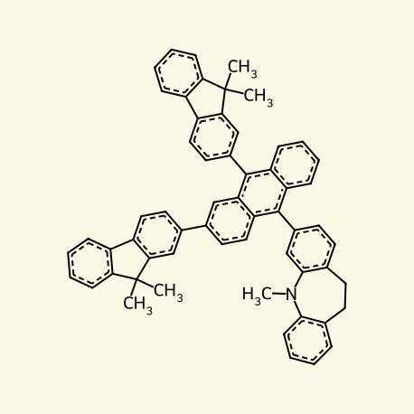 CN1c2ccccc2CCc2ccc(-c3c4ccccc4c(-c4ccc5c(c4)C(C)(C)c4ccccc4-5)c4cc(-c5ccc6c(c5)C(C)(C)c5ccccc5-6)ccc34)cc21